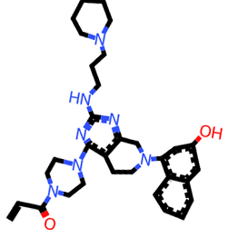 C=CC(=O)N1CCN(c2nc(NCCCN3CCCCC3)nc3c2CCN(c2cc(O)cc4ccccc24)C3)CC1